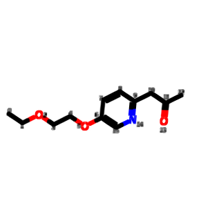 CCOCCOc1ccc(CC(C)=O)nc1